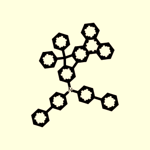 c1ccc(-c2ccc(N(c3ccc(-c4ccccc4)cc3)c3ccc4c(c3)-c3cc5c6ccccc6c6ccccc6c5cc3C4(c3ccccc3)c3ccccc3)cc2)cc1